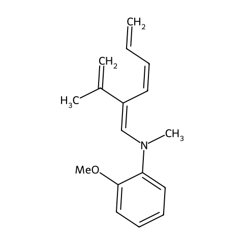 C=C/C=C\C(=C/N(C)c1ccccc1OC)C(=C)C